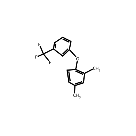 Cc1ccc(Oc2cccc(C(F)(F)F)c2)c(C)c1